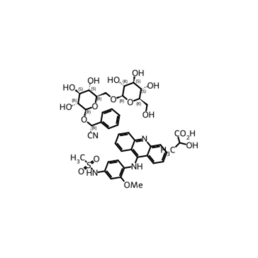 CC(O)C(=O)O.COc1cc(NS(C)(=O)=O)ccc1Nc1c2ccccc2nc2ccccc12.N#C[C@H](O[C@@H]1O[C@H](CO[C@@H]2O[C@H](CO)[C@@H](O)[C@H](O)[C@H]2O)[C@@H](O)[C@H](O)[C@H]1O)c1ccccc1